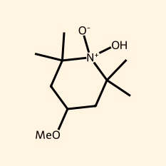 COC1CC(C)(C)[N+]([O-])(O)C(C)(C)C1